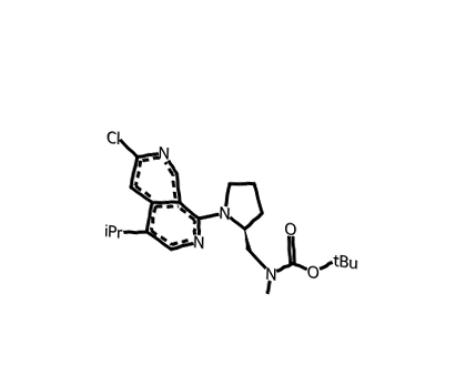 CC(C)c1cnc(N2CCC[C@H]2CN(C)C(=O)OC(C)(C)C)c2cnc(Cl)cc12